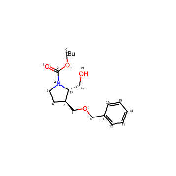 CC(C)(C)OC(=O)N1CC[C@H](COCc2ccccc2)[C@H]1CO